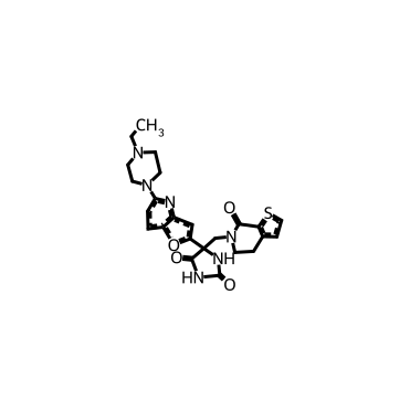 CCN1CCN(c2ccc3oc(C4(CN5CCc6ccsc6C5=O)NC(=O)NC4=O)cc3n2)CC1